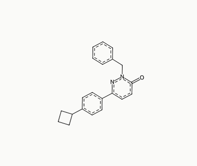 O=c1ccc(-c2ccc(C3CCC3)cc2)nn1Cc1ccccc1